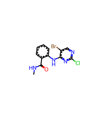 CNC(=O)c1ccccc1Nc1nc(Cl)ncc1Br